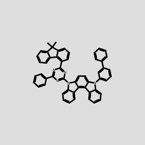 CC1(C)c2ccccc2-c2c(-c3nc(-c4ccccc4)nc(-n4c5ccccc5c5c6c7ccccc7n(-c7cccc(-c8ccccc8)c7)c6ccc54)n3)cccc21